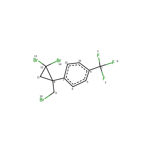 FC(F)(F)c1ccc(C2(CBr)CC2(Br)Br)cc1